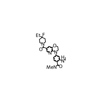 CCC1(F)CCN(C(=O)c2cnc3c(c2)OCCN3c2ccc(C(=O)NC)c(NI)c2)CC1